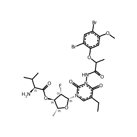 CCc1cn([C@@H]2O[C@H](C)[C@@H](OC(=O)[C@@H](N)C(C)C)[C@@H]2F)c(=O)n(NC(=O)C(C)Oc2cc(OC)c(Br)cc2Br)c1=O